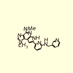 CNc1nc2[nH]c(-c3cccc(NCc4cccnc4)n3)cc2c2c1ncn2C